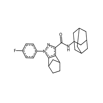 O=C(NC12CC3CC(CC(C3)C1)C2)c1nn(-c2ccc(F)cc2)c2c1C1CCC2C1